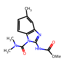 COC(=O)Nc1nc2cc(C)ccc2n1C(=O)N(C)C